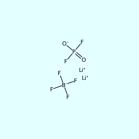 F[B-](F)(F)F.O=P([O-])(F)F.[Li+].[Li+]